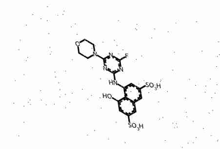 O=S(=O)(O)c1cc(O)c2c(Nc3nc(F)nc(N4CCOCC4)n3)cc(S(=O)(=O)O)cc2c1